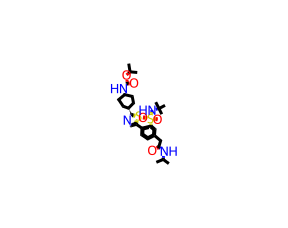 CC(C)NC(=O)Cc1ccc(-c2cnc([C@H]3CC[C@H](NC(=O)OC(C)C)CC3)s2)c(S(=O)(=O)NC(C)(C)C)c1